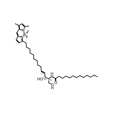 CCCCCCCCCCCCC(=O)N[C@@H](CO)[C@H](O)/C=C/CCCCCCCCCC1=[N+]2C(=Cc3c(C)cc(C)n3[B-]2(F)F)C=C1